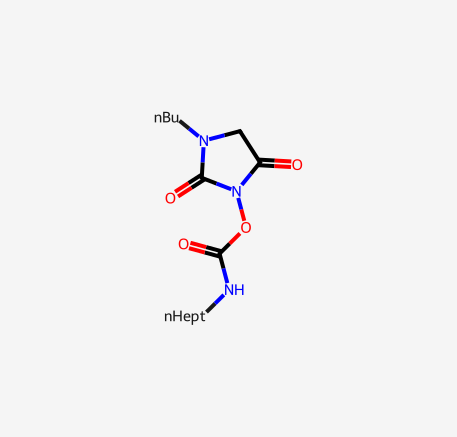 CCCCCCCNC(=O)ON1C(=O)CN(CCCC)C1=O